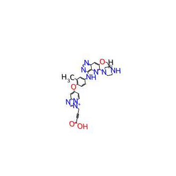 Cc1cc(Nc2ncnc3cc4c(nc23)N2CCN[C@H](CO4)C2)ccc1Oc1ccn2c(c1)nc[n+]2CC#CC(=O)O